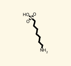 NCCCCCCCS(=O)(=O)O